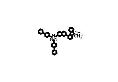 CC1(C)c2ccccc2-c2c(-c3ccc4ccc(-c5nc(-c6ccc(-c7ccccc7)cc6)nc(-c6ccc(-c7ccccc7)cc6)n5)cc4c3)cccc21